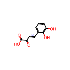 O=C(O)C(=O)/C=C/c1cccc(O)c1O